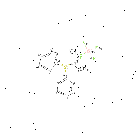 CC(C)[S+](c1ccccc1)c1ccccc1.F[B-](F)(F)F